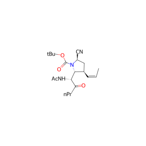 C/C=C\[C@@H]1C[C@H](C#N)N(C(=O)OC(C)(C)C)[C@H]1[C@@H](NC(C)=O)C(=O)CCC